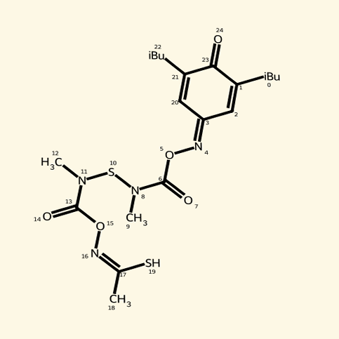 CCC(C)C1=CC(=NOC(=O)N(C)SN(C)C(=O)ON=C(C)S)C=C(C(C)CC)C1=O